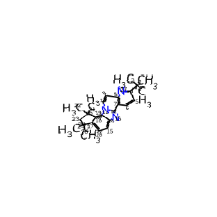 CC(C)(C)c1ccc2c(ccn3c2nc2ccc4c(c23)C(C)(C)CC4(C)C)n1